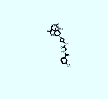 CO/C(C)=C(/C=N\C(C)OC)[C@]1(O)CC[C@H](N2CC(NC(=O)CNC(=O)c3cccc(C(F)(F)F)c3)C2)CC1